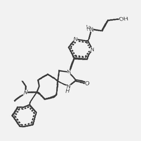 CN(C)C1(c2ccccc2)CCC2(CC1)CN(c1cnc(NCCO)nc1)C(=O)N2